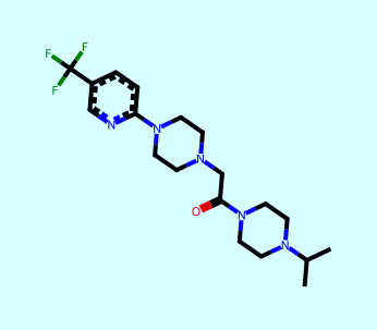 CC(C)N1CCN(C(=O)CN2CCN(c3ccc(C(F)(F)F)cn3)CC2)CC1